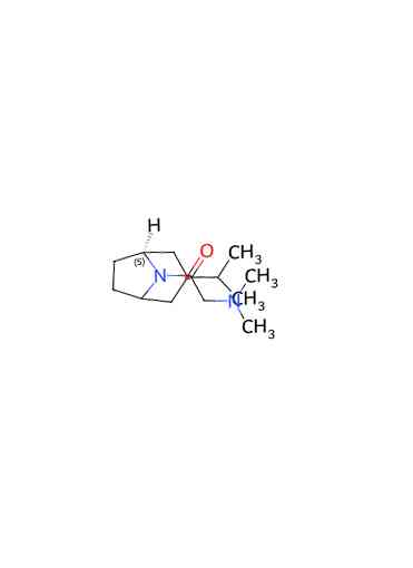 CC(C)C1CC2CC[C@@H](C1)N2C(=O)CN(C)C